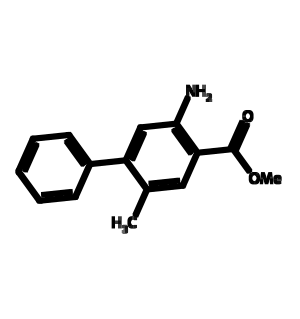 COC(=O)c1cc(C)c(-c2ccccc2)cc1N